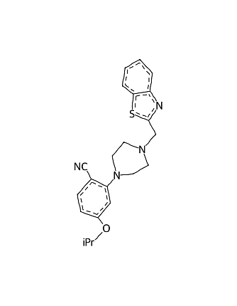 CC(C)Oc1ccc(C#N)c(N2CCN(Cc3nc4ccccc4s3)CC2)c1